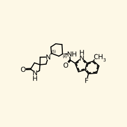 Cc1ccc(F)c2cc(C(=O)N[C@@H]3CCC[C@H](N4CC5(CNC(=O)C5)C4)C3)[nH]c12